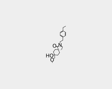 CCc1ccc(CCN2CC[C@]3(CC[C@@](O)(COC)CC3)C2=O)cc1